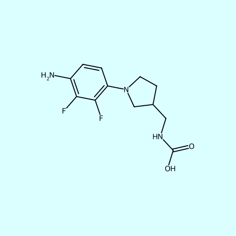 Nc1ccc(N2CCC(CNC(=O)O)C2)c(F)c1F